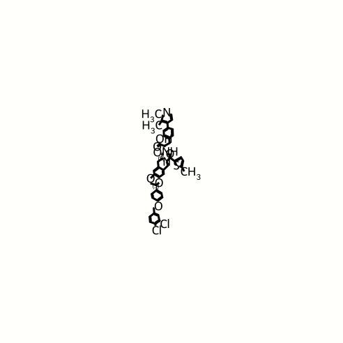 Cc1ccc(C(=O)N2Cc3cc4c(cc3C[C@H]2C(=O)NC(Cc2ccc(-c3ccnc(C)c3C)cc2)C(=O)O)OC[C@H](c2ccc(OCc3ccc(Cl)c(Cl)c3)cc2)O4)s1